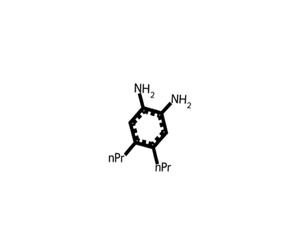 CCCc1cc(N)c(N)cc1CCC